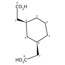 O=C(O)C[C@H]1CCC[C@@H](CC(=O)O)C1